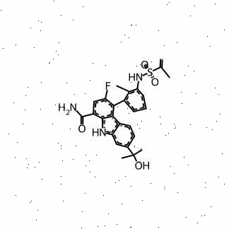 C=C(C)S(=O)(=O)Nc1cccc(-c2c(F)cc(C(N)=O)c3[nH]c4cc(C(C)(C)O)ccc4c23)c1C